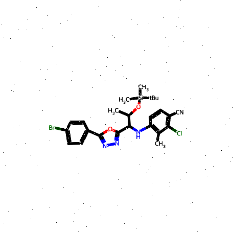 Cc1c(NC(c2nnc(-c3ccc(Br)cc3)o2)C(C)O[Si](C)(C)C(C)(C)C)ccc(C#N)c1Cl